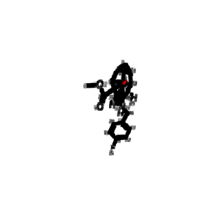 COC(=O)[C@@H]1C2C3C4CC5C2C5C(C43)[C@@H]1NCc1ccc(F)cc1